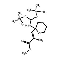 COC(=O)C([SiH3])=CC1([SiH2]C(O[Si](C)(C)C)O[Si](C)(C)C)CCCCO1